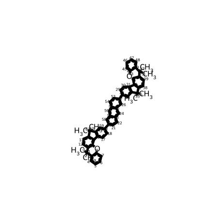 CC1(C)c2ccccc2Oc2c1ccc1c2-c2ccc(-c3ccc4cc5cc(-c6ccc7c(c6)C(C)(C)c6ccc8c(c6-7)Oc6ccccc6C8(C)C)ccc5cc4c3)cc2C1(C)C